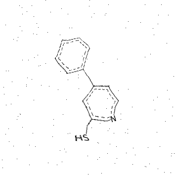 Sc1cc(-c2ccccc2)ccn1